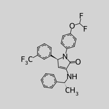 C[C@@H](NC1=C[C@@H](c2cccc(C(F)(F)F)c2)N(c2ccc(OC(F)F)cc2)C1=O)c1ccccc1